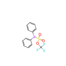 O=S(=O)(OC(F)(F)F)[I+](c1ccccc1)c1ccccc1